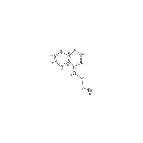 BrCCOc1cccc2ccccc12